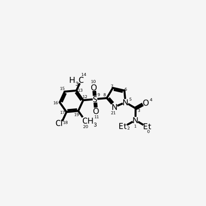 CCN(CC)C(=O)n1ccc(S(=O)(=O)c2c(C)ccc(Cl)c2C)n1